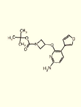 CC(C)(C)OC(=O)N1CC(Oc2nc(N)ccc2-c2ccoc2)C1